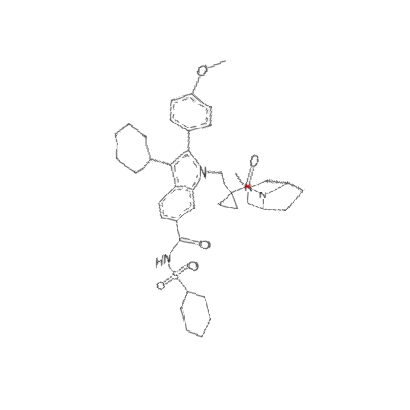 COc1ccc(-c2c(C3CCCCC3)c3ccc(C(=O)NS(=O)(=O)C4CCCCC4)cc3n2CC2(C(=O)N3C4CCC3CN(C)C4)CC2)cc1